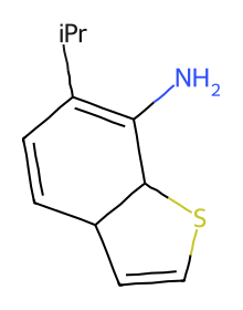 CC(C)C1=C(N)C2SC=CC2C=C1